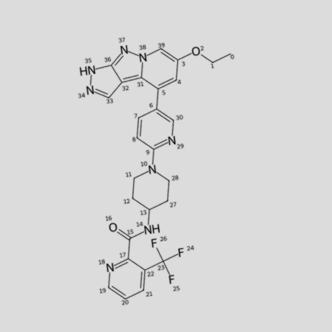 CCOc1cc(-c2ccc(N3CCC(NC(=O)c4ncccc4C(F)(F)F)CC3)nc2)c2c3cn[nH]c3nn2c1